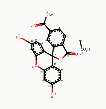 CC(=O)O.CC(=O)OC(=O)c1ccc2c(c1)C1(OC2=O)c2ccc(O)cc2Oc2cc(O)ccc21